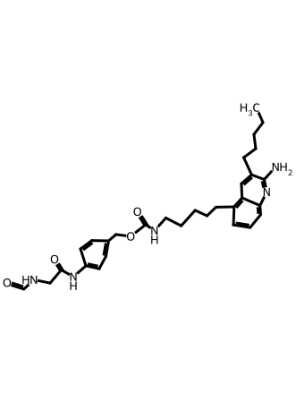 CCCCCc1cc2c(CCCCCNC(=O)OCc3ccc(NC(=O)CNC=O)cc3)cccc2nc1N